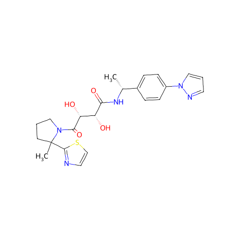 C[C@@H](NC(=O)[C@H](O)[C@@H](O)C(=O)N1CCCC1(C)c1nccs1)c1ccc(-n2cccn2)cc1